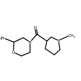 CC(C)C1CN(C(=O)C2CCCN(C)C2)CCO1